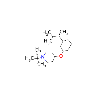 CC(C)[C@@H](C)C1CCCC(OC2CCN(C(C)(C)C)CC2)C1